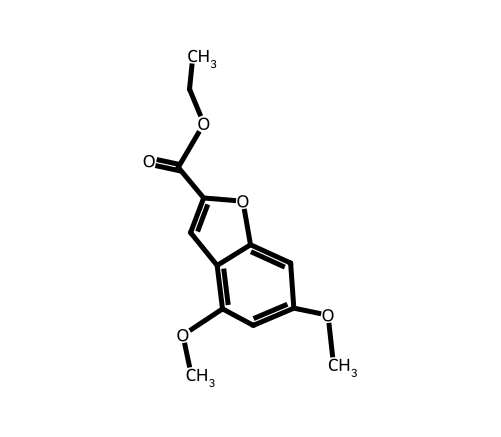 CCOC(=O)c1cc2c(OC)cc(OC)cc2o1